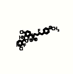 COc1ccc(CC(F)CCN(c2ccc(Cl)c(NC(=O)c3ccnc(Cl)c3F)c2F)[SH](=O)=O)cc1